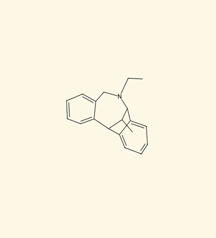 CCN1Cc2ccccc2C2c3ccccc3C1C2C